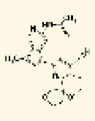 CC(=O)Nc1cc2c(-c3cc(C#N)c4c(n3)C3(CCOC3)OCC4)cn(C)c2cn1